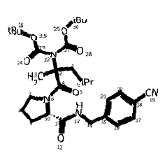 CC(C)CC(C)(C(=O)N1CCC[C@H]1C(=O)NCc1ccc(C#N)cc1)N(C(=O)OC(C)(C)C)C(=O)OC(C)(C)C